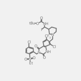 CCS(=O)(=O)c1ccc(Cl)cc1Cn1c(=O)[nH]c2c(Cl)c(CN3CCCC(C(I)NC(=O)OC(C)(C)C)C3)c(C(F)(F)F)cc2c1=O